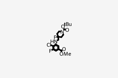 COC(=O)c1cc(F)c(Cl)c(NCC2(F)CCN(C(=O)OC(C)(C)C)CC2)c1